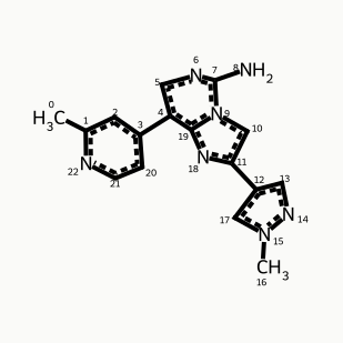 Cc1cc(-c2cnc(N)n3cc(-c4cnn(C)c4)nc23)ccn1